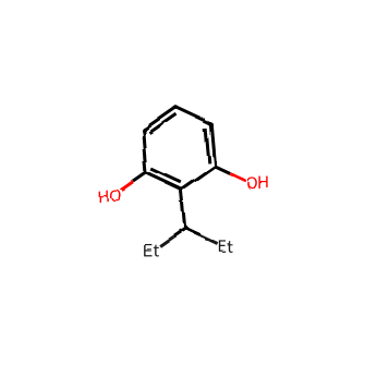 CCC(CC)c1c(O)cccc1O